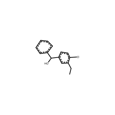 CCc1cc(C(O)c2ccccc2)ccc1Cl